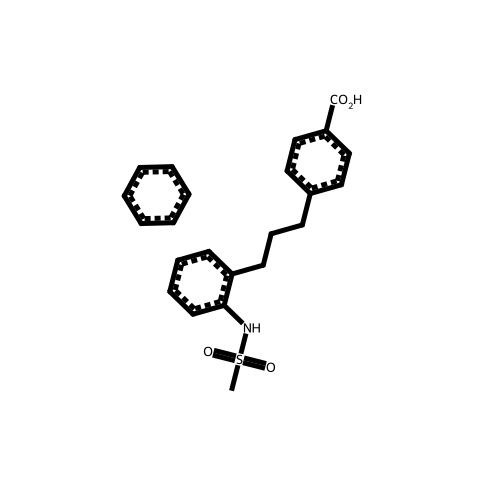 CS(=O)(=O)Nc1ccccc1CCCc1ccc(C(=O)O)cc1.c1ccccc1